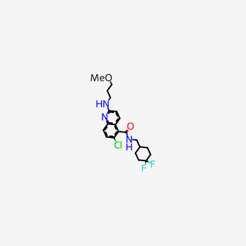 COCCCNc1ccc2c(C(=O)NCC3CCC(F)(F)CC3)c(Cl)ccc2n1